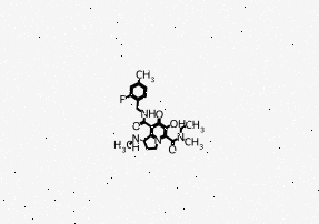 CCN(C)C(=O)c1c(O)c(=O)c(C(=O)NCc2ccc(C)cc2F)c2n1CC[C@@H]2NC